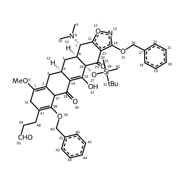 COC1=C2C[C@H]3C[C@H]4[C@H](N(C)C)c5onc(OCc6ccccc6)c5C(=O)[C@@]4(O[Si](C)(C)C(C)(C)C)C(O)=C3C(=O)C2C(OCc2ccccc2)=C(CCC=O)C1